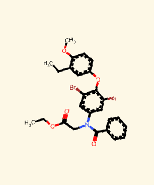 CCOC(=O)CN(C(=O)c1ccccc1)c1cc(Br)c(Oc2ccc(OC)c(CC)c2)c(Br)c1